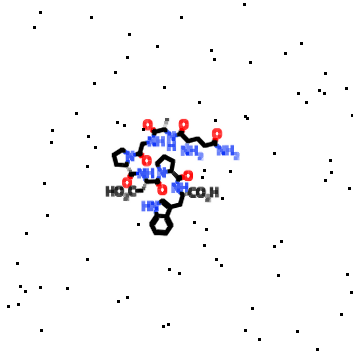 C[C@H](NC(=O)[C@@H](N)CCC(N)=O)C(=O)NCC(=O)N1CCC[C@H]1C(=O)N[C@@H](CC(=O)O)C(=O)N1CCC[C@H]1C(=O)N[C@@H](Cc1c[nH]c2ccccc12)C(=O)O